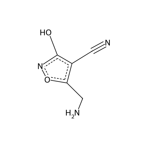 N#Cc1c(O)noc1CN